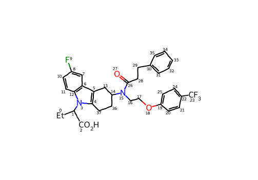 CCC(C(=O)O)n1c2c(c3cc(F)ccc31)CC(N(CCOc1ccc(C(F)(F)F)cc1)C(=O)CCc1ccccc1)CC2